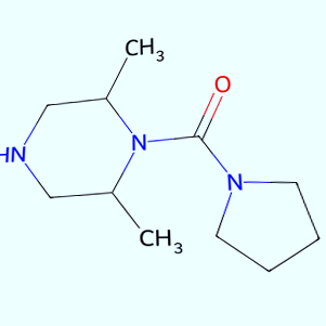 CC1CNCC(C)N1C(=O)N1CCCC1